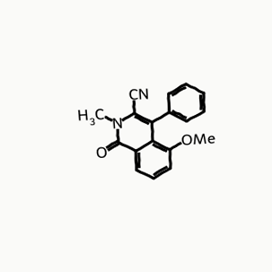 COc1cccc2c(=O)n(C)c(C#N)c(-c3ccccc3)c12